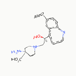 COc1ccc2nccc([C@H](O)CN3CCC(N)(C(=O)O)CC3)c2c1